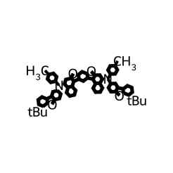 Cc1ccc(N(c2ccc3oc4c(C(C)(C)C)cccc4c3c2)c2cc3oc4cc5oc6cc(N(c7ccc(C)cc7)c7ccc8oc9c(C(C)(C)C)cccc9c8c7)c7ccccc7c6c5cc4c3c3ccccc23)cc1